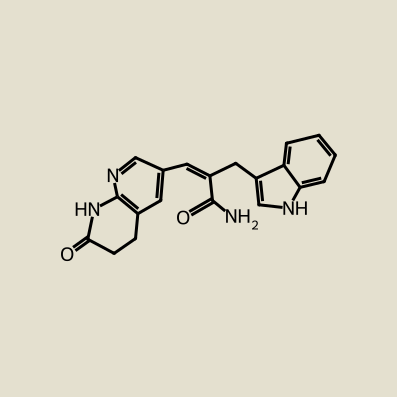 NC(=O)C(=Cc1cnc2c(c1)CCC(=O)N2)Cc1c[nH]c2ccccc12